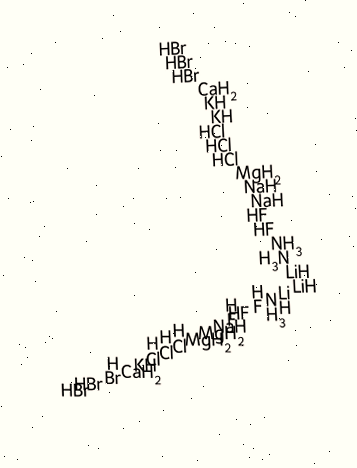 Br.Br.Br.Br.Br.Br.Cl.Cl.Cl.Cl.Cl.Cl.F.F.F.F.F.N.N.N.[CaH2].[CaH2].[KH].[KH].[KH].[LiH].[LiH].[LiH].[MgH2].[MgH2].[MgH2].[NaH].[NaH].[NaH]